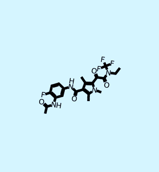 CCN(C(=O)C(=O)c1c(C)c(C(=O)Nc2ccc(F)c(NC(C)=O)c2)c(C)n1C)C(F)(F)F